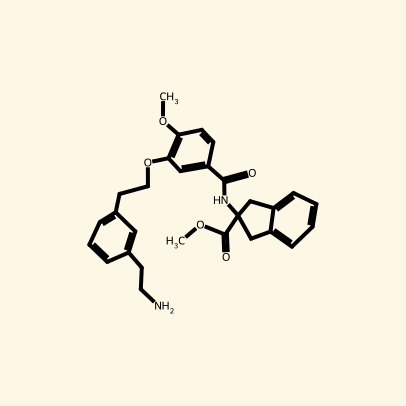 COC(=O)C1(NC(=O)c2ccc(OC)c(OCCc3cccc(CCN)c3)c2)Cc2ccccc2C1